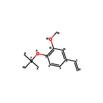 C=Cc1ccc(O[Si](C)(C)C)c(OC)c1